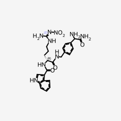 NC(=O)C(N)c1ccc(CNC(=O)[C@@H](CCCN/C(N)=N\[N+](=O)[O-])NC(=O)c2c[nH]c3ccccc23)cc1